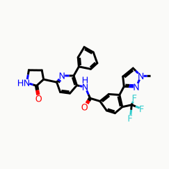 Cn1ccc(-c2cc(C(=O)Nc3ccc(C4CCNC4=O)nc3-c3ccccc3)ccc2C(F)(F)F)n1